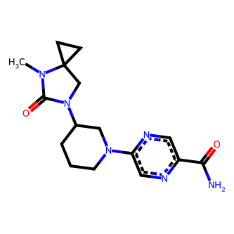 CN1C(=O)N(C2CCCN(c3cnc(C(N)=O)cn3)C2)CC12CC2